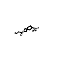 CCOC(=O)N1CC2(CCC(OS(C)(=O)=O)C2)C1